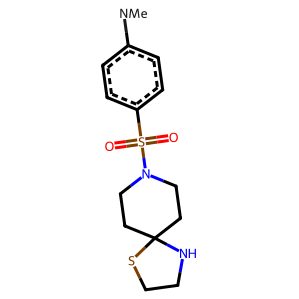 CNc1ccc(S(=O)(=O)N2CCC3(CC2)NCCS3)cc1